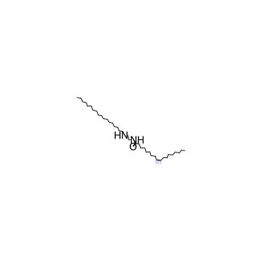 CCCCCCCC/C=C\CCCCCCCC(=O)NCCNCCCCCCCCCCCCCCCCCC